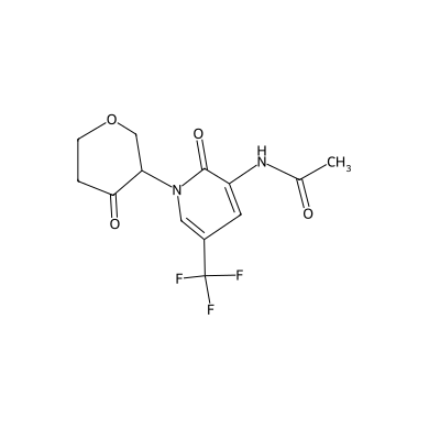 CC(=O)Nc1cc(C(F)(F)F)cn(C2COCCC2=O)c1=O